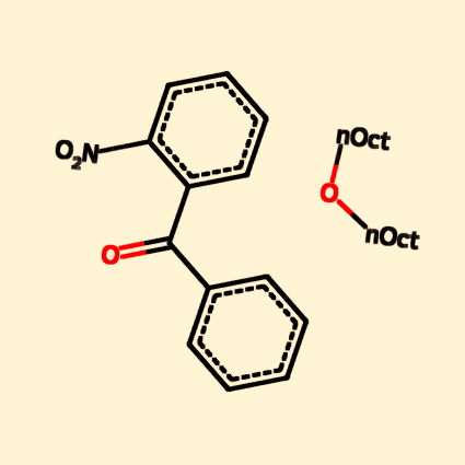 CCCCCCCCOCCCCCCCC.O=C(c1ccccc1)c1ccccc1[N+](=O)[O-]